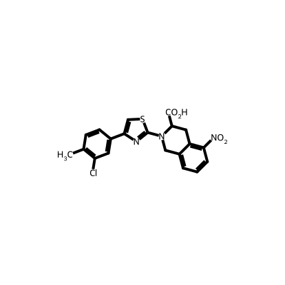 Cc1ccc(-c2csc(N3Cc4cccc([N+](=O)[O-])c4CC3C(=O)O)n2)cc1Cl